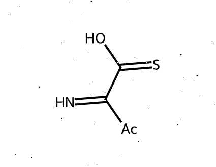 CC(=O)C(=N)C(O)=S